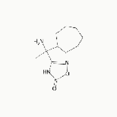 CC(N)(c1noc(=O)[nH]1)C1CCCCCC1